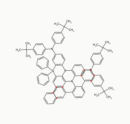 CC(C)(C)c1ccc(N(c2ccc(C(C)(C)C)cc2)c2ccc3c(c2)N(c2c(-c4ccccc4)cccc2-c2ccccc2)c2cc(-c4ccccc4)cc4c2B3c2ccc(N(c3ccc(C(C)(C)C)cc3)c3ccc(C(C)(C)C)cc3)cc2[Si]4(c2ccccc2)c2ccccc2)cc1